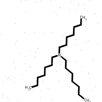 CCCCCC[CH2][Al]([CH2]CCCCCC)[CH2]CCCCCC